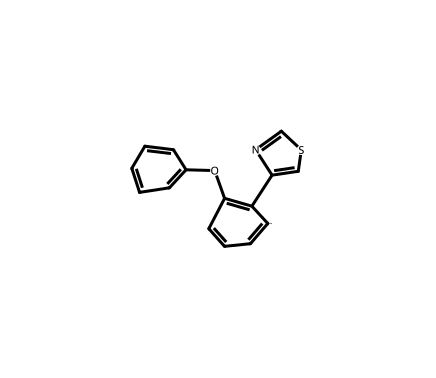 [c]1cccc(Oc2ccccc2)c1-c1cscn1